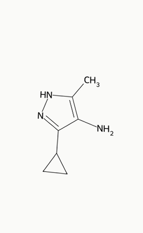 Cc1[nH]nc(C2CC2)c1N